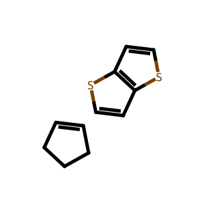 C1=CCCC1.c1cc2sccc2s1